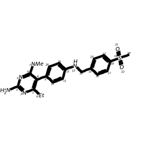 CCc1nc(N)nc(NC)c1-c1ccc(NCc2ccc(S(C)(=O)=O)cc2)cc1